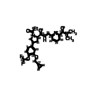 CCC(=O)N1CC(c2ccc(OC(F)F)c(OCC3CC3)c2)C[C@@H]1C(=O)NCc1cccc(C(=O)N(C)C)n1